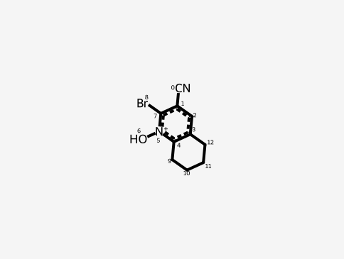 N#Cc1cc2c([n+](O)c1Br)CCCC2